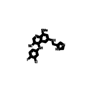 CSc1cc(NCc2cnc[nH]2)cc2c(Nc3ccc(F)c(Cl)c3)c(C#N)cnc12